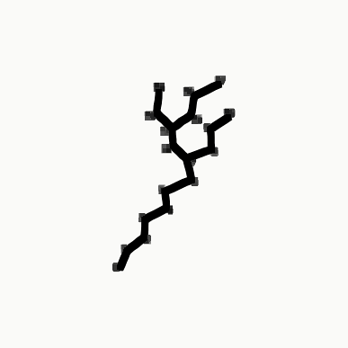 CCCCCCCC(CCC)CC(CC)CCC